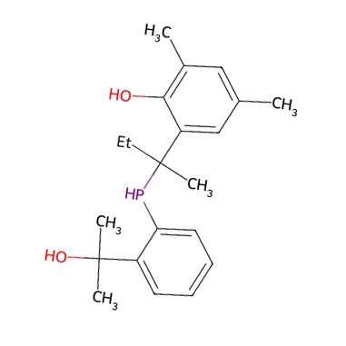 CCC(C)(Pc1ccccc1C(C)(C)O)c1cc(C)cc(C)c1O